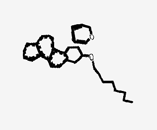 C1=CCOC=C1.CCCCCCCCOC1CCc2c(ccc3c2ccc2ccccc23)C1